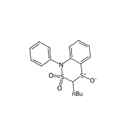 CCCCC1[S+]([O-])c2ccccc2N(c2ccccc2)S1(=O)=O